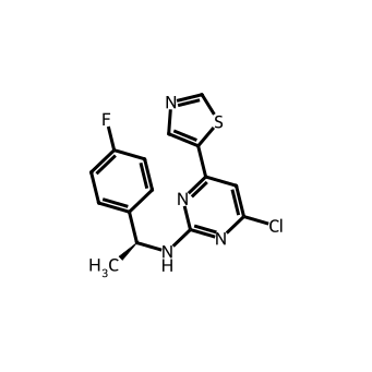 C[C@H](Nc1nc(Cl)cc(-c2cncs2)n1)c1ccc(F)cc1